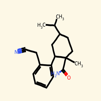 CC(C)C1CCC(C)(C(N)=O)C(c2ccccc2CC#N)C1